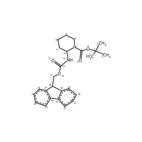 CC(C)(C)OC(=O)N1CCCCC1NC(=O)OCC1c2ccccc2-c2ccccc21